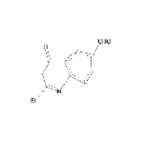 CCC1=Nc2ccc(C=O)cc2C(=O)C1